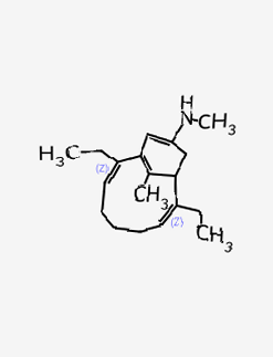 CC/C1=C/CCC/C=C(/CC)C2CC(NC)=CC1=C2C